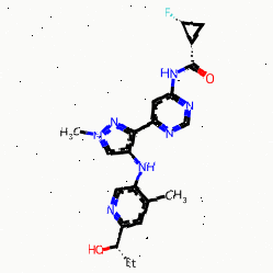 CC[C@H](O)c1cc(C)c(Nc2cn(C)nc2-c2cc(NC(=O)[C@H]3C[C@H]3F)ncn2)cn1